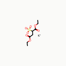 CCOC(=O)CC(C(=O)OCC)S(=O)(=O)[O-].[K+]